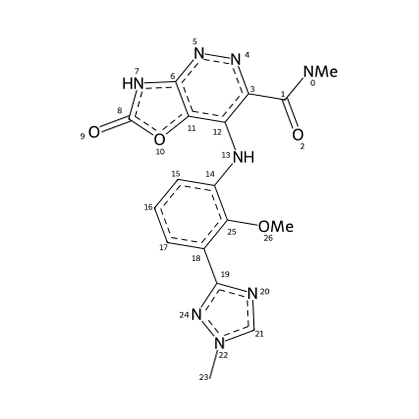 CNC(=O)c1nnc2[nH]c(=O)oc2c1Nc1cccc(-c2ncn(C)n2)c1OC